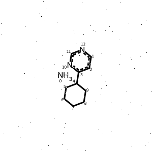 N.c1cc(C2CCCCC2)ncn1